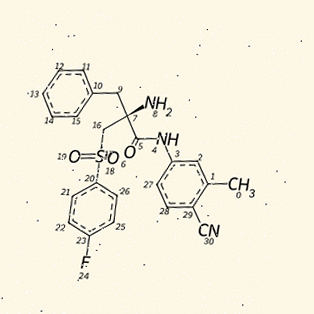 Cc1cc(NC(=O)[C@@](N)(Cc2ccccc2)CS(=O)(=O)c2ccc(F)cc2)ccc1C#N